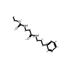 CCOC(=O)NCCC(=O)NCCCc1ccccc1